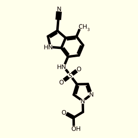 Cc1ccc(NS(=O)(=O)c2cnn(CC(=O)O)c2)c2[nH]cc(C#N)c12